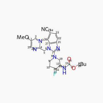 COc1cnc(Cn2c(N3CC[C@@H](F)[C@H](NC(=O)OC(C)(C)C)C3)nc3ccc(C#N)cc32)nc1